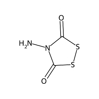 Nn1c(=O)ssc1=O